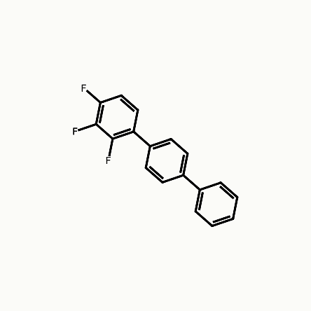 Fc1ccc(-c2ccc(-c3ccccc3)cc2)c(F)c1F